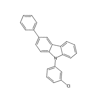 Clc1cccc(-n2c3ccccc3c3cc(-c4ccccc4)ccc32)c1